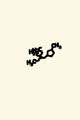 CCS(CC)(CC)CC1CCC(C)C1